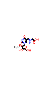 COC1C(O)[C@H](CO)O[C@@H]1n1cc(CNCC(=O)O)c(=O)[nH]c1=O